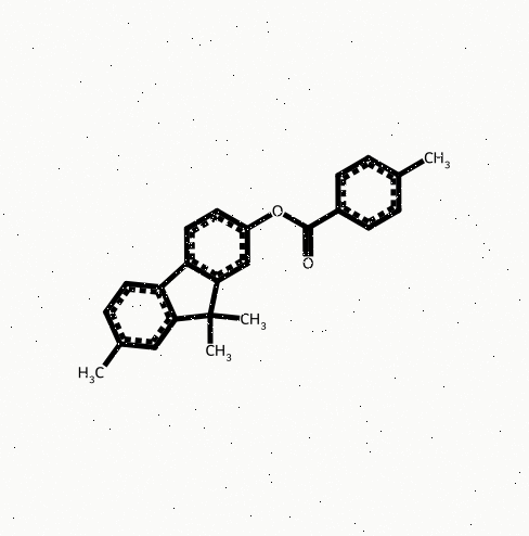 Cc1ccc(C(=O)Oc2ccc3c(c2)C(C)(C)c2cc(C)ccc2-3)cc1